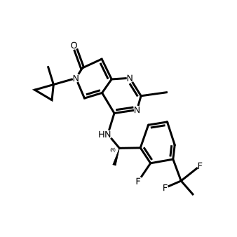 Cc1nc(N[C@H](C)c2cccc(C(C)(F)F)c2F)c2cn(C3(C)CC3)c(=O)cc2n1